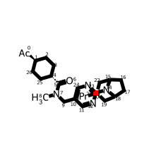 CC(=O)[C@H]1CC[C@H](C(=O)N(C)Cc2cnc(N3C4CCC3CN(C(C)C)C4)nc2)CC1